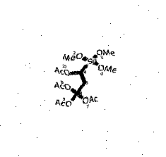 CO[Si](OC)(OC)C(CC(OC(C)=O)(OC(C)=O)OC(C)=O)OC(C)=O